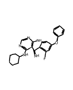 N=C(c1ccc(Oc2ccccc2)cc1F)c1c(N)ncnc1NC1CCCCC1